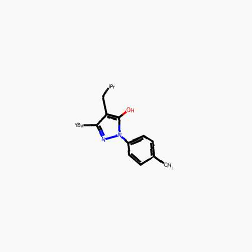 Cc1ccc(-n2nc(C(C)(C)C)c(CC(C)C)c2O)cc1